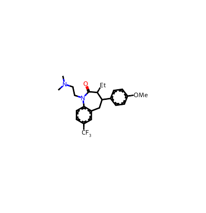 CCC1C(=O)N(CCN(C)C)c2ccc(C(F)(F)F)cc2CC1c1ccc(OC)cc1